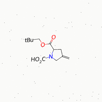 C=C1CC(C(=O)OCC(C)(C)C)N(C(=O)O)C1